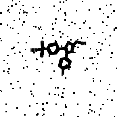 NS(=O)(=O)c1ccc(-c2oc(CO)nc2-c2ccc(F)cc2)cc1